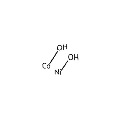 [OH][Co].[OH][Ni]